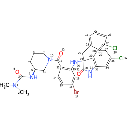 CN(C)C(=O)N[C@H]1CCCN(C(=O)c2ccc(Br)cc2NC2(Cc3cccc(Cl)c3)C(=O)Nc3cc(Cl)ccc32)C1